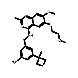 COCCOc1cc2c(NCc3cc(N)cc(C4(C)COC4)c3)nc(C)nc2cc1OC